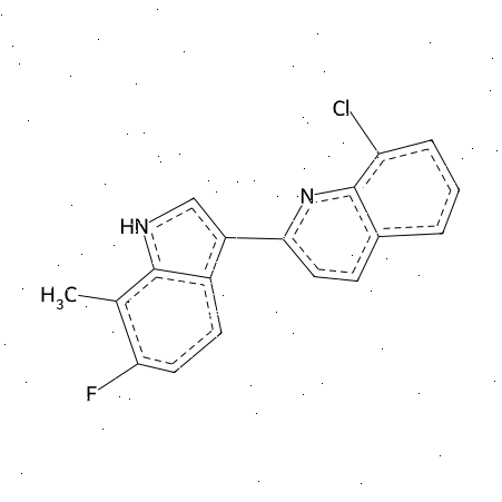 Cc1c(F)ccc2c(-c3ccc4cccc(Cl)c4n3)c[nH]c12